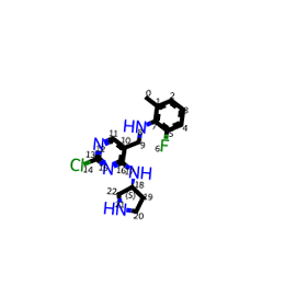 Cc1cccc(F)c1NCc1cnc(Cl)nc1N[C@H]1CCNC1